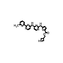 Cc1cccc(-c2nccc(Nc3ccnc(Nc4ccc(C(=O)OCC5CNC5)s4)n3)n2)n1